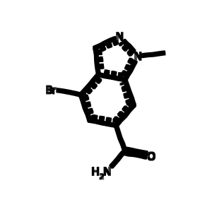 Cn1ncc2c(Br)cc(C(N)=O)cc21